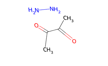 CC(=O)C(C)=O.NN